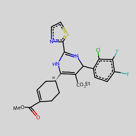 CCOC(=O)C1=C([C@H]2CC=C(C(=O)OC)CC2)NC(c2nccs2)=NC1c1ccc(F)c(F)c1Cl